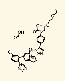 CCOCCOCCN(C(=O)O)c1ccc(-c2cnc([C@@H]3CCc4cc(-c5cc(Cl)ccc5-n5cnnn5)cc(=O)n43)[nH]2)cc1.O=CO